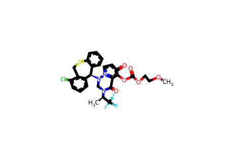 COCCOC(=O)Oc1c2n(ccc1=O)N([C@@H]1c3ccccc3SCc3c(Cl)cccc31)CN([C@H](C)C(F)(F)F)C2=O